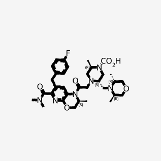 C[C@@H]1CN(CC(=O)N2c3cc(Cc4ccc(F)cc4)c(C(=O)N(C)C)nc3OC[C@@H]2C)[C@@H](CN2[C@H](C)COC[C@H]2C)CN1C(=O)O